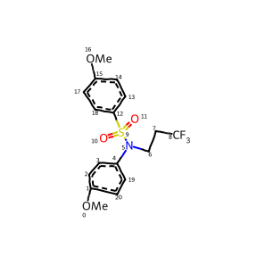 COc1ccc(N(CCC(F)(F)F)S(=O)(=O)c2ccc(OC)cc2)cc1